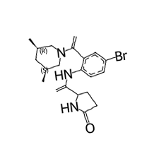 C=C(Nc1ccc(Br)cc1C(=C)N1C[C@H](C)C[C@H](C)C1)C1CCC(=O)N1